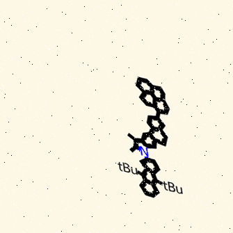 Cc1c(C)n(-c2ccc3c(C(C)(C)C)c4ccccc4c(C(C)(C)C)c3c2)c2cc3ccc4cc(-c5ccc6ccc7cccc8ccc5c6c78)ccc4c3cc12